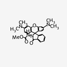 COC(=O)NN1C(=O)c2ccccc2C12c1ccc(N(C)C)cc1Oc1cc(N(C)C)ccc12